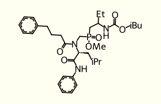 CCC(CP(=O)(CN(C(=O)CCCc1ccccc1)[C@@H](CC(C)C)C(=O)Nc1ccccc1)OC)NC(=O)OC(C)CC